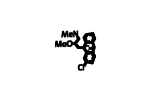 CNCC(CC12CCC(c3ccccc31)c1ccc(Cl)cc12)OC